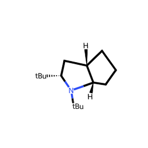 CC(C)(C)[C@@H]1C[C@@H]2CCC[C@@H]2N1C(C)(C)C